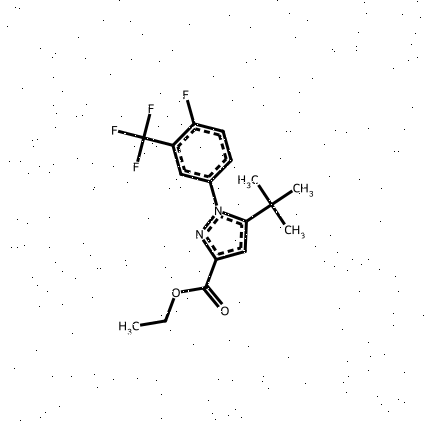 CCOC(=O)c1cc(C(C)(C)C)n(-c2ccc(F)c(C(F)(F)F)c2)n1